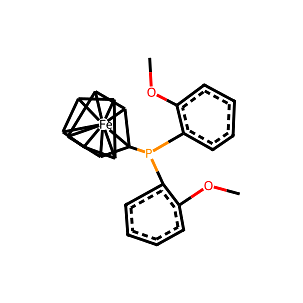 COc1ccccc1P(c1ccccc1OC)[C]12[CH]3[CH]4[CH]5[CH]1[Fe]45321678[CH]2[CH]1[CH]6[CH]7[CH]28